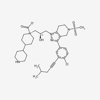 CC(C)CC#Cc1cc(-c2nn(C[C@@H](O)C[N+]3(C(=O)[O-])CCC(C4CCNCC4)CC3)c3c2CN(S(C)(=O)=O)CC3)ccc1Cl